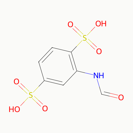 O=CNc1cc(S(=O)(=O)O)ccc1S(=O)(=O)O